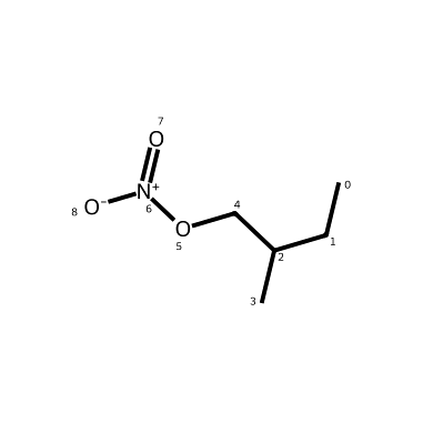 CCC(C)CO[N+](=O)[O-]